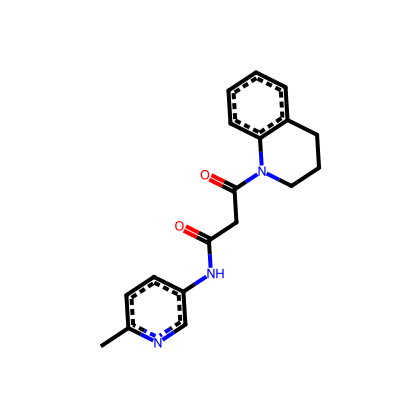 Cc1ccc(NC(=O)CC(=O)N2CCCc3ccccc32)cn1